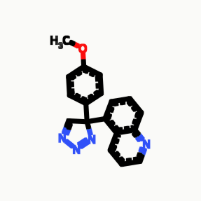 COc1ccc(C2(c3cccc4ncccc34)C=NN=N2)cc1